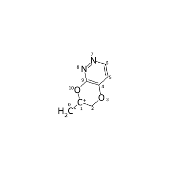 [CH2-][C+]1COc2ccnnc2O1